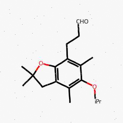 Cc1c(CCC=O)c2c(c(C)c1OC(C)C)CC(C)(C)O2